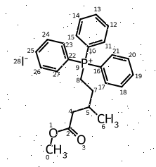 COC(=O)CC(C)CC[P+](c1ccccc1)(c1ccccc1)c1ccccc1.[I-]